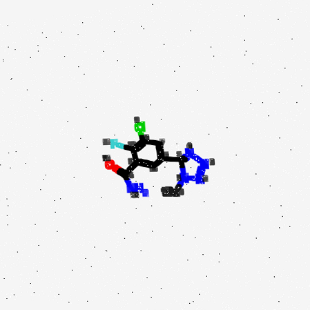 CC(C)(C)n1nnnc1-c1cc(Cl)c(F)c(C(N)=O)c1